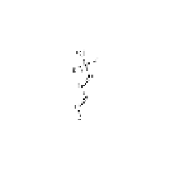 CC=CC=C[Si](C)(C)Cl